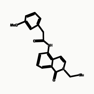 COc1cccc(CC(=O)Nc2cccc3c(=O)n(CC(C)(C)C)ccc23)c1